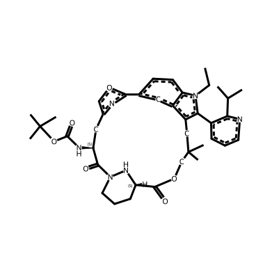 CCn1c(-c2cccnc2C(C)C)c2c3cc(ccc31)-c1nc(co1)C[C@H](NC(=O)OC(C)(C)C)C(=O)N1CCC[C@H](N1)C(=O)OCC(C)(C)C2